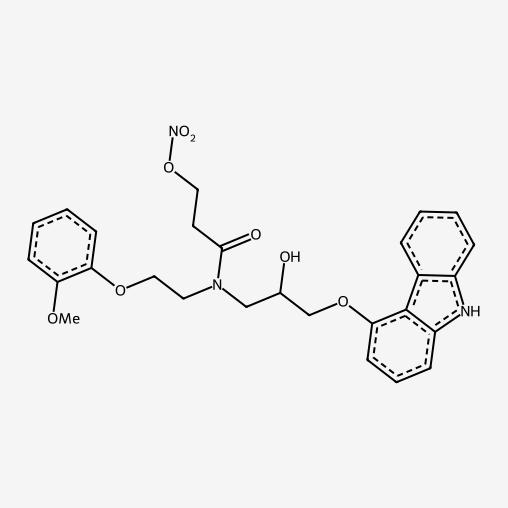 COc1ccccc1OCCN(CC(O)COc1cccc2[nH]c3ccccc3c12)C(=O)CCO[N+](=O)[O-]